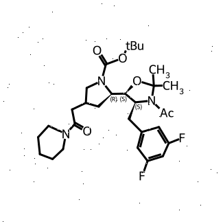 CC(=O)N1[C@@H](Cc2cc(F)cc(F)c2)[C@@H]([C@H]2CC(CC(=O)N3CCCCC3)CN2C(=O)OC(C)(C)C)OC1(C)C